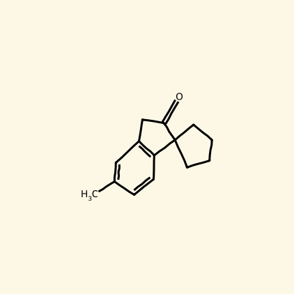 Cc1ccc2c(c1)CC(=O)C21CCCC1